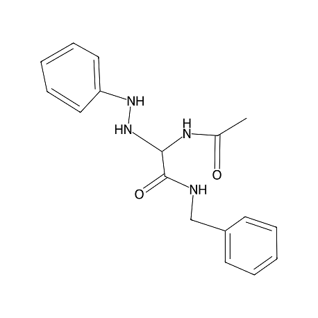 CC(=O)NC(NNc1ccccc1)C(=O)NCc1ccccc1